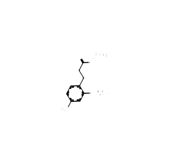 COc1cc(Br)ccc1CCC(=O)OC(C)(C)C